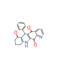 O=C1CCCC2=C1C(c1ccccc1)C1=C(N2)C(=O)c2ncccc2C1=O